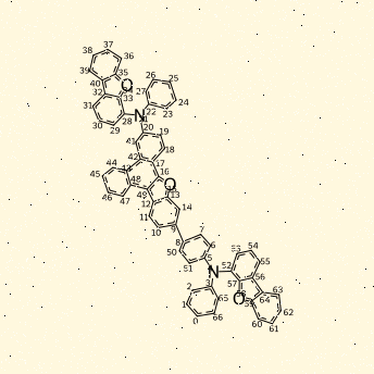 c1ccc(N(c2ccc(-c3ccc4c(c3)oc3c5ccc(N(c6ccccc6)c6cccc7c6oc6ccccc67)cc5c5ccccc5c43)cc2)c2cccc3c2oc2ccccc23)cc1